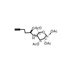 C#CCCC(=O)N[C@H]1[C@H](OC(C)=O)O[C@H](COC(C)=O)[C@H](OC(C)=O)[C@@H]1OC(C)=O